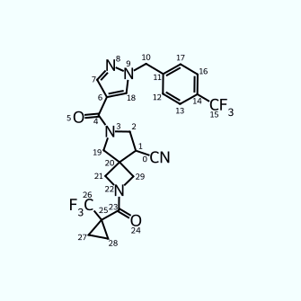 N#CC1CN(C(=O)c2cnn(Cc3ccc(C(F)(F)F)cc3)c2)CC12CN(C(=O)C1(C(F)(F)F)CC1)C2